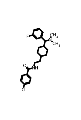 CN(C)C(c1cccc(F)c1)C1CCC(CCNC(=O)c2ccc(Cl)cc2)CC1